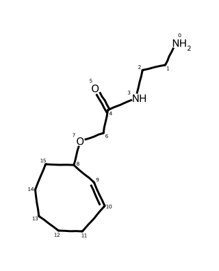 NCCNC(=O)COC1C=CCCCCC1